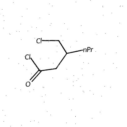 CCCC(CCl)CC(=O)Cl